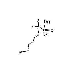 O=P(O)(O)C(F)(F)CCCCCBr